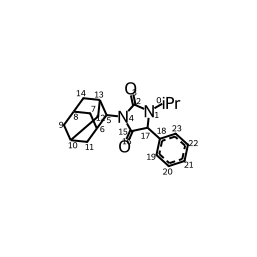 CC(C)N1C(=O)N(C2C3CC4CC(C3)CC2C4)C(=O)C1c1ccccc1